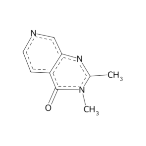 Cc1nc2cnccc2c(=O)n1C